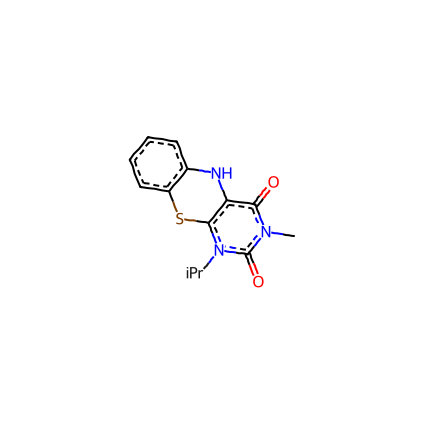 CC(C)n1c2c(c(=O)n(C)c1=O)Nc1ccccc1S2